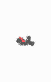 c1ccc(-c2nc(-c3ccccc3)nc(-c3ccc(-c4ccc5c(c4)C4(c6ccccc6S5)c5ccccc5-c5ccccc54)s3)n2)cc1